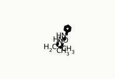 C=CCN(CC(C)=CC)NC(=O)NCc1ccccc1